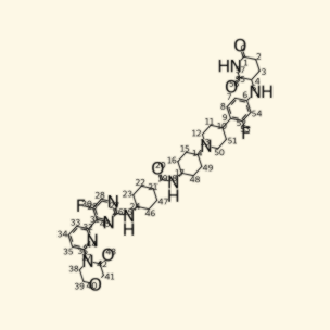 O=C1CCC(Nc2ccc(C3CCN([C@H]4CC[C@H](NC(=O)[C@H]5CC[C@H](Nc6ncc(F)c(-c7cccc(N8CCOCC8=O)n7)n6)CC5)CC4)CC3)c(F)c2)C(=O)N1